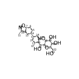 Cc1cc(-c2ccc3onc(C)c3c2)ccc1[C@@H](O)C1O[C@H](CO)C(O)C(O)C1O